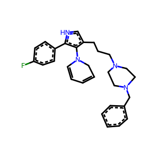 Fc1ccc(-c2[nH]cc(CCCN3CCN(Cc4ccccc4)CC3)c2N2C=CC=CC2)cc1